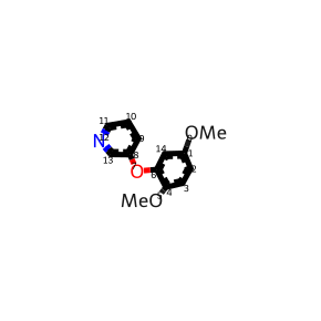 COc1ccc(OC)c(Oc2cccnc2)c1